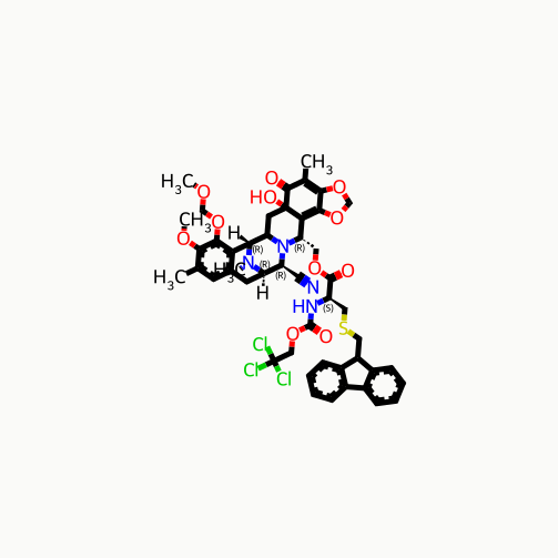 COCOc1c(OC)c(C)cc2c1[C@@H]1C3CC4(O)C(=O)C(C)=C5OCOC5=C4[C@H](COC(=O)[C@@H](CSCC4c5ccccc5-c5ccccc54)NC(=O)OCC(Cl)(Cl)Cl)N3[C@@H](C#N)[C@@H](C2)N1C